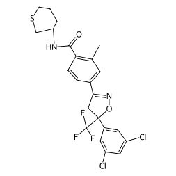 Cc1cc(C2=NOC(c3cc(Cl)cc(Cl)c3)(C(F)(F)F)C2)ccc1C(=O)NC1CCCSC1